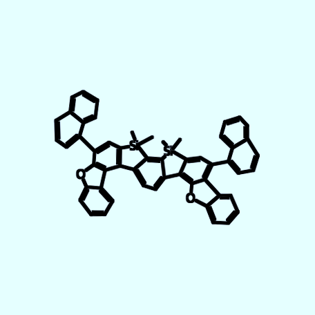 C[Si]1(C)c2cc(-c3cccc4ccccc34)c3c(oc4ccccc43)c2-c2ccc3c(c21)[Si](C)(C)c1cc(-c2cccc4ccccc24)c2oc4ccccc4c2c1-3